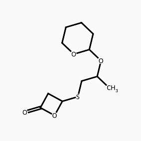 CC(CSC1CC(=O)O1)OC1CCCCO1